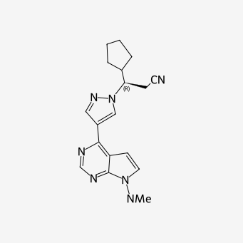 CNn1ccc2c(-c3cnn([C@H](CC#N)C4CCCC4)c3)ncnc21